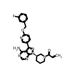 C=CC(=O)N1CCC[C@@H](n2nc(-c3ccc(OCc4cccc(F)c4)nc3)c3c(N)ncnc32)C1